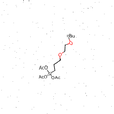 CCCCOCCOCCC[Si](OC(C)=O)(OC(C)=O)OC(C)=O